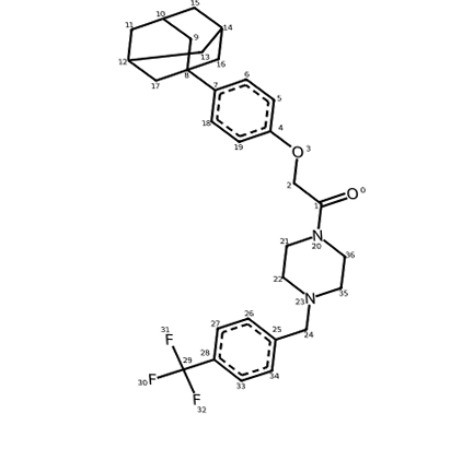 O=C(COc1ccc(C23CC4CC(CC(C4)C2)C3)cc1)N1CCN(Cc2ccc(C(F)(F)F)cc2)CC1